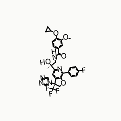 COc1cc(C(=O)NC[C@](C)(O)c2cc3c(c(-c4ccc(F)cc4)n2)OC[C@@]3(n2cnnc2)C(F)(F)F)ccc1OC1CC1